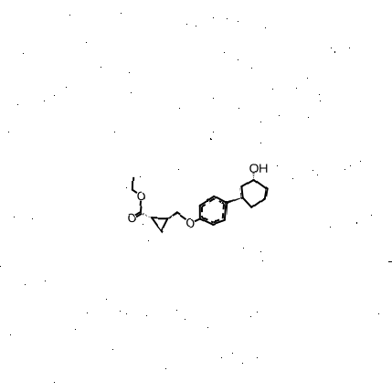 CCOC(=O)[C@H]1C[C@@H]1COc1ccc([C@@H]2CCC[C@@H](O)C2)cc1